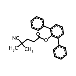 CC(C)(C#N)CCC(=O)Oc1c(-c2ccccc2)cccc1-c1ccccc1